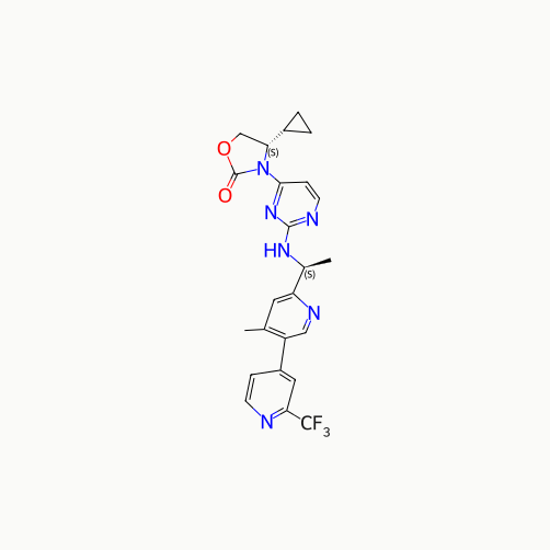 Cc1cc([C@H](C)Nc2nccc(N3C(=O)OC[C@@H]3C3CC3)n2)ncc1-c1ccnc(C(F)(F)F)c1